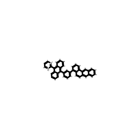 c1cnc(-c2c3ccccc3c(-c3cccc(-c4cccc5c4ccc4cc6ccccc6cc45)c3)c3ccccc23)nc1